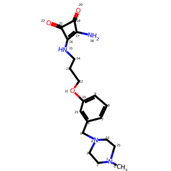 CN1CCN(Cc2cccc(OCCCNc3c(N)c(=O)c3=O)c2)CC1